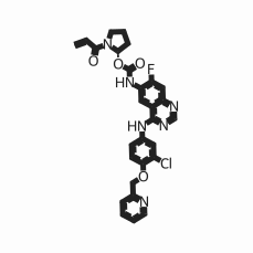 C=CC(=O)N1CCC[C@@H]1OC(=O)Nc1cc2c(Nc3ccc(OCc4ccccn4)c(Cl)c3)ncnc2cc1F